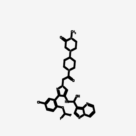 CN1CCN(C2CCN(C(=O)Cn3cc(NC(O)c4cnn5cccnc45)c(-c4cc(Cl)ccc4OC(F)F)n3)CC2)CC1=O